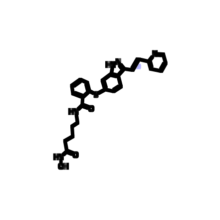 O=C(CCCCNC(=O)c1ccccc1Sc1ccc2c(/C=C/c3ccccn3)n[nH]c2c1)NO